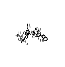 Cc1c(-c2ccc(-c3ccc4c(c3)NCCC4)nc2C(=O)OC(C)(C)C)cnn1CC12CC3(C)CC(C)(C1)CC(OCCN(C)C(=O)OC(C)(C)C)(C3)C2